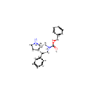 O=C(OCc1ccccc1)N(CCc1ccccc1)C[C@@H]1CCCN1